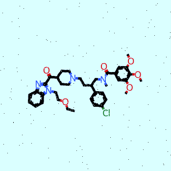 CCOCCn1c(C(=O)C2CCN(CCC(CN(C)C(=O)c3cc(OC)c(OC)c(OC)c3)c3ccc(Cl)cc3)CC2)nc2ccccc21